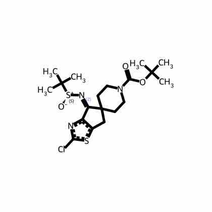 CC(C)(C)OC(=O)N1CCC2(CC1)Cc1sc(Cl)nc1/C2=N\[S@+]([O-])C(C)(C)C